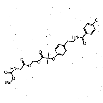 CC(C)(C)OC(=O)NCC(=O)OCOC(=O)C(C)(C)Oc1ccc(CCNC(=O)c2ccc(Cl)cc2)cc1